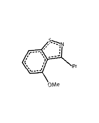 COc1cccc2snc(C(C)C)c12